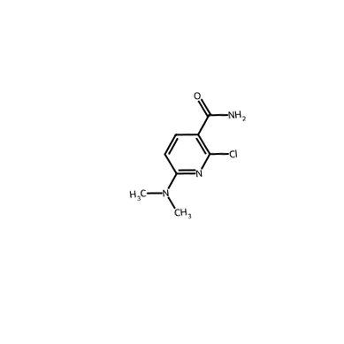 CN(C)c1ccc(C(N)=O)c(Cl)n1